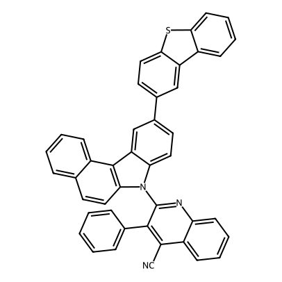 N#Cc1c(-c2ccccc2)c(-n2c3ccc(-c4ccc5sc6ccccc6c5c4)cc3c3c4ccccc4ccc32)nc2ccccc12